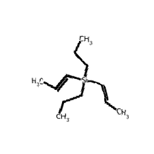 CC=C[Si](C=CC)(CCC)CCC